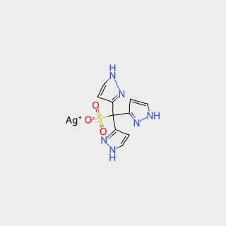 O=S(=O)([O-])C(c1cc[nH]n1)(c1cc[nH]n1)c1cc[nH]n1.[Ag+]